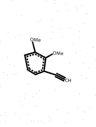 C#Cc1c[c]cc(OC)c1OC